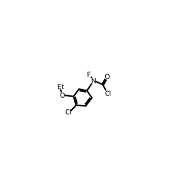 CCOc1cc(N(F)C(=O)Cl)ccc1Cl